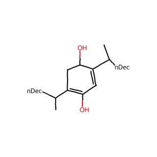 CCCCCCCCCCC(C)C1=CC(O)=C(C(C)CCCCCCCCCC)CC1O